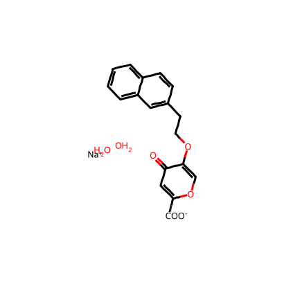 O.O.O=C([O-])c1cc(=O)c(OCCc2ccc3ccccc3c2)co1.[Na+]